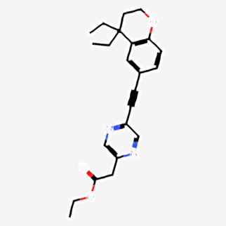 CCOC(=O)Cc1cnc(C#Cc2ccc3c(c2)C(CC)(CC)CCO3)cn1